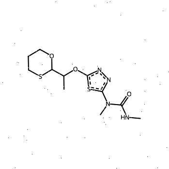 CNC(=O)N(C)c1nnc(OC(C)C2OCCCS2)s1